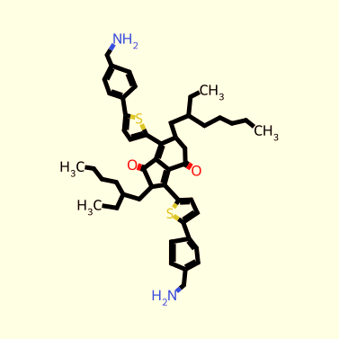 CCCCCC(CC)CC1CC(=O)C2=C(c3ccc(-c4ccc(CN)cc4)s3)C(CC(CC)CCCC)C(=O)C2=C1c1ccc(-c2ccc(CN)cc2)s1